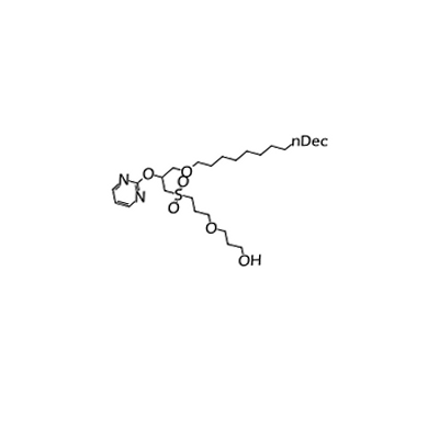 CCCCCCCCCCCCCCCCCCOCC(CS(=O)(=O)CCCOCCCO)Oc1ncccn1